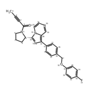 CC#CC(=O)N1CCC[C@H]1c1nc(-c2ccc(COc3ccc(F)cc3)cc2)c2cnccn12